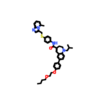 CCCCOCCOc1ccc(-c2ccc3c(c2)C=C(C(=O)Nc2ccc(SCc4cnc5cccc(C)n45)cc2)CCN3CC(C)C)cc1